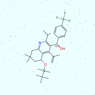 C=C(C)c1c2c(nc(C(C)C)c1[C@H](O)c1ccc(C(F)(F)F)cc1)CC(C)(C)CC2O[Si](C)(C)C(C)(C)C